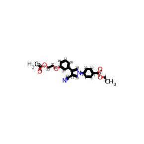 CCOC(=O)c1ccc(-n2cc(C#N)c(-c3cccc(OCCOC(C)=O)c3)c2)cc1